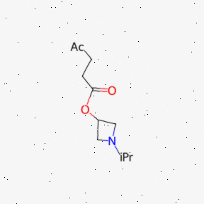 CC(=O)CCC(=O)OC1CN(C(C)C)C1